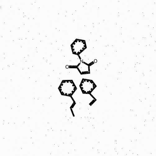 C=Cc1ccccc1.CC=Cc1ccccc1.O=C1C=CC(=O)N1c1ccccc1